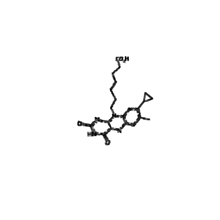 Cc1cc2nc3c(=O)[nH]c(=O)nc-3n(CCCCCCC(=O)O)c2cc1C1CC1